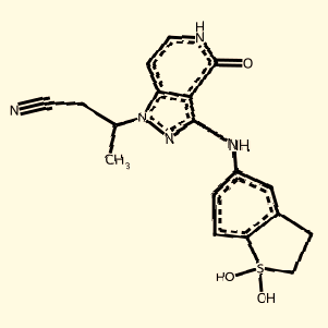 CC(CC#N)n1nc(Nc2ccc3c(c2)CCS3(O)O)c2c(=O)[nH]ccc21